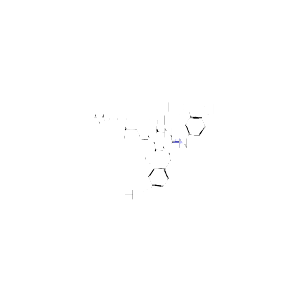 COC(=O)CCn1c(=O)[nH]/c(=N\c2ccc(Cl)c(C(F)(F)F)c2)n(Cc2ccc(C)cc2)c1=O